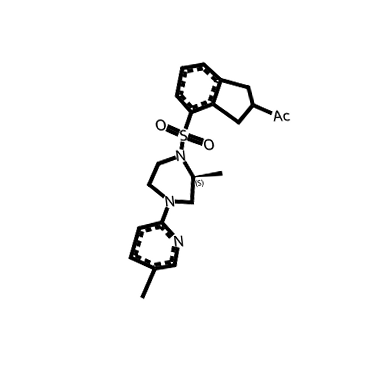 CC(=O)C1Cc2cccc(S(=O)(=O)N3CCN(c4ccc(C)cn4)C[C@@H]3C)c2C1